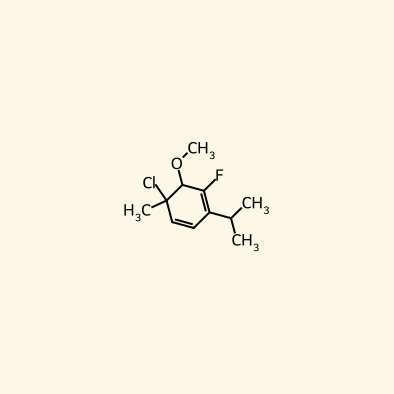 COC1C(F)=C(C(C)C)C=CC1(C)Cl